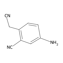 N#CCc1ccc(N)cc1C#N